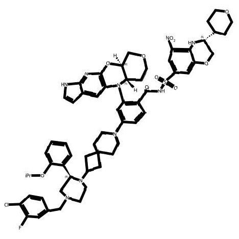 CC(C)Oc1ccccc1[C@@H]1CN(Cc2ccc(Cl)c(F)c2)CCN1C1CC2(CCN(c3ccc(C(=O)NS(=O)(=O)c4cc5c(c([N+](=O)[O-])c4)N[C@H](C4CCOCC4)CO5)c(N4c5cc6cc[nH]c6nc5O[C@H]5COCC[C@@H]54)c3)CC2)C1